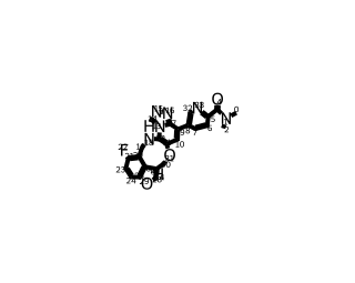 CN(C)C(=O)c1ccc(-c2cc3c(n4cnnc24)NCc2c(F)ccc4c2[C@H](CO4)CO3)cn1